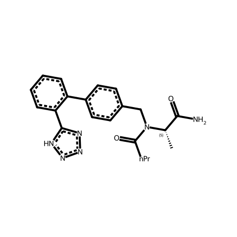 CCCC(=O)N(Cc1ccc(-c2ccccc2-c2nnn[nH]2)cc1)[C@@H](C)C(N)=O